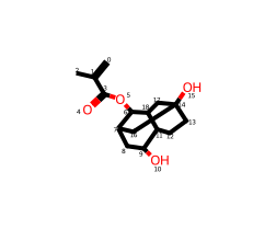 C=C(C)C(=O)OC1C2CC(O)C3CCC(O)(C2)CC31